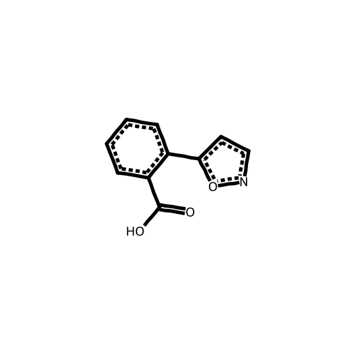 O=C(O)c1ccccc1-c1ccno1